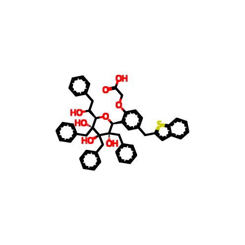 O=C(O)COc1ccc(Cc2cc3ccccc3s2)cc1[C@@H]1O[C@H](C(O)Cc2ccccc2)[C@](O)(Cc2ccccc2)[C@@](O)(Cc2ccccc2)[C@]1(O)Cc1ccccc1